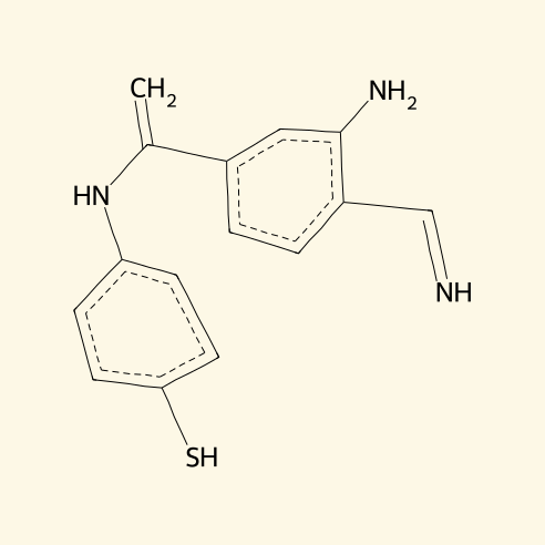 C=C(Nc1ccc(S)cc1)c1ccc(C=N)c(N)c1